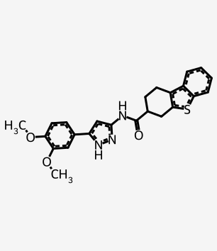 COc1ccc(-c2cc(NC(=O)C3CCc4c(sc5ccccc45)C3)n[nH]2)cc1OC